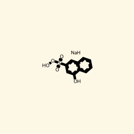 O=S(=O)(OO)c1cc(O)c2ccccc2c1.[NaH]